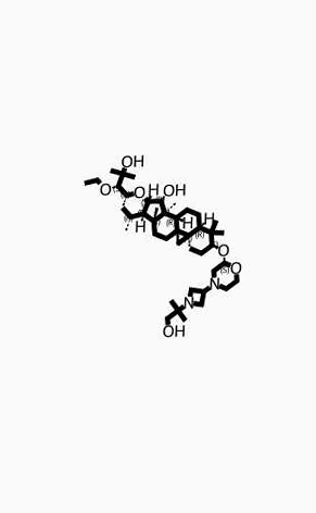 CCO[C@@H]([C@H]1C[C@@H](C)[C@H]2[C@H](O1)[C@H](O)[C@@]1(C)[C@@H]3CC[C@H]4C(C)(C)[C@@H](O[C@H]5CN(C6CN(C(C)(C)CO)C6)CCO5)CC[C@@]45C[C@@]35CC[C@]21C)C(C)(C)O